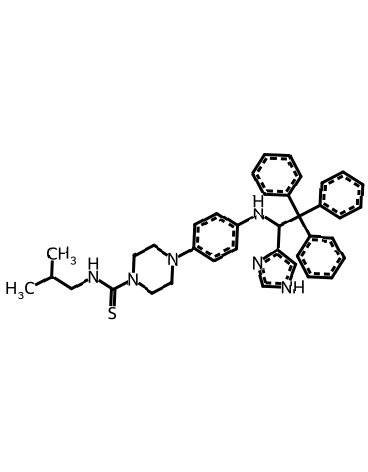 CC(C)CNC(=S)N1CCN(c2ccc(NC(c3c[nH]cn3)C(c3ccccc3)(c3ccccc3)c3ccccc3)cc2)CC1